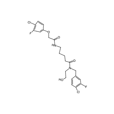 O=C(COc1ccc(Cl)c(F)c1)NCCCCC(=O)N(CCO)Cc1ccc(Cl)c(F)c1